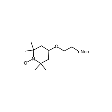 CCCCCCCCCCCOC1CC(C)(C)N([O])C(C)(C)C1